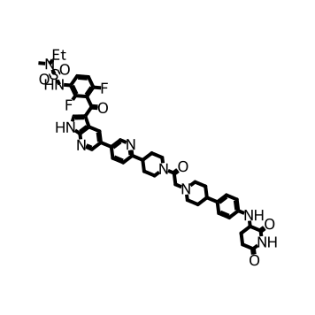 CCN(C)S(=O)(=O)Nc1ccc(F)c(C(=O)c2c[nH]c3ncc(-c4ccc(C5CCN(C(=O)CN6CCC(c7ccc(NC8CCC(=O)NC8=O)cc7)CC6)CC5)nc4)cc23)c1F